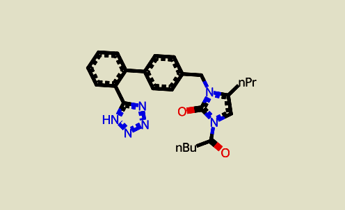 CCCCC(=O)n1cc(CCC)n(Cc2ccc(-c3ccccc3-c3nnn[nH]3)cc2)c1=O